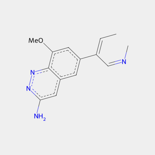 C/C=C(\C=N/C)c1cc(OC)c2nnc(N)cc2c1